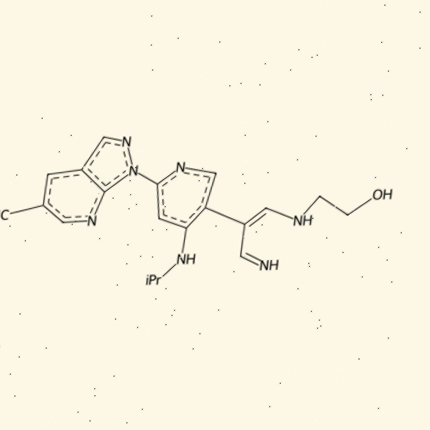 CC(C)Nc1cc(-n2ncc3cc(C#N)cnc32)ncc1/C(C=N)=C/NCCO